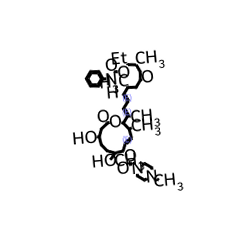 CCC(OC(=O)Nc1ccccc1)C(C)C1OC1CC(C)/C=C/C=C(\C)C1OC(=O)CC(O)CCC(C)(O)C(OC(=O)N2CCN(C)CC2)/C=C/C1C